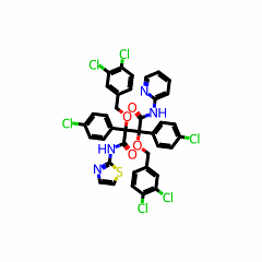 O=C(Nc1ccccn1)C(OCc1ccc(Cl)c(Cl)c1)(c1ccc(Cl)cc1)C(OCc1ccc(Cl)c(Cl)c1)(C(=O)Nc1nccs1)c1ccc(Cl)cc1